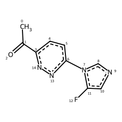 CC(=O)c1ccc(-n2cncc2F)nn1